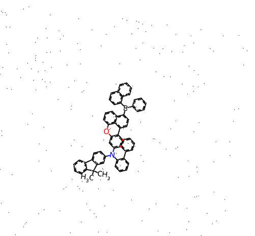 CC1(C)c2ccccc2-c2ccc(N(c3ccc4c(c3)Oc3cccc5c(B(c6ccccc6)c6cccc7ccccc67)ccc-4c35)c3ccccc3-c3ccccc3)cc21